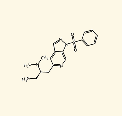 CN(C)[C@H](CN)Cc1cc2cnn(S(=O)(=O)c3ccccc3)c2cn1